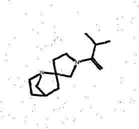 C=C(C(C)C)N1CCC2(CC3CCN2C3)C1